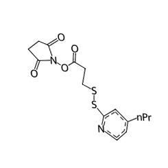 CCCc1ccnc(SSCCC(=O)ON2C(=O)CCC2=O)c1